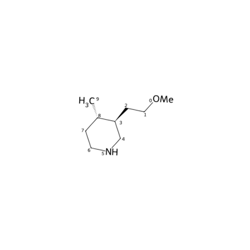 COCC[C@H]1CNCC[C@@H]1C